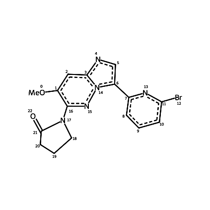 COc1cc2ncc(-c3cccc(Br)n3)n2nc1N1CCCC1=O